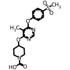 Cc1c(Oc2ccc(S(C)(=O)=O)cc2)ncnc1OC1CCN(C(=O)O)CC1